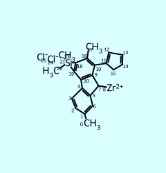 Cc1ccc2c(c1)[CH]([Zr+2])c1c(C3=CC=CC3)c(C)c3c(c1-2)[Si]3(C)C.[Cl-].[Cl-]